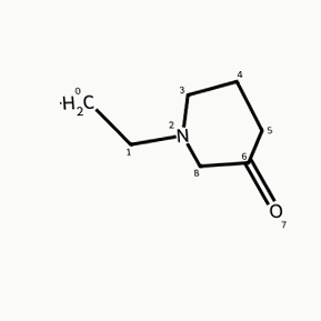 [CH2]CN1CCCC(=O)C1